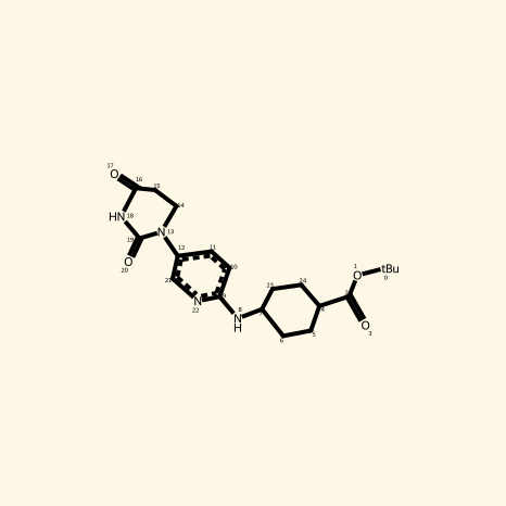 CC(C)(C)OC(=O)C1CCC(Nc2ccc(N3CCC(=O)NC3=O)cn2)CC1